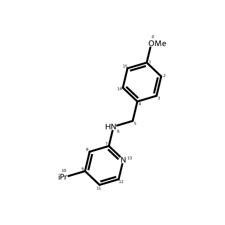 COc1ccc(CNc2cc(C(C)C)ccn2)cc1